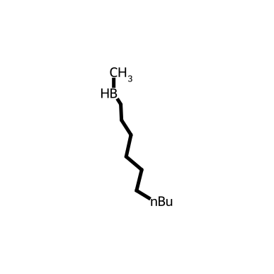 CBCCCCCCCCCC